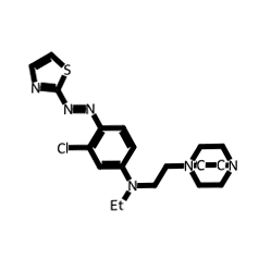 CCN(CC[N+]12CCN(CC1)CC2)c1ccc(/N=N/c2nccs2)c(Cl)c1